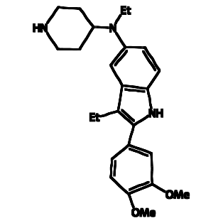 CCc1c(-c2ccc(OC)c(OC)c2)[nH]c2ccc(N(CC)C3CCNCC3)cc12